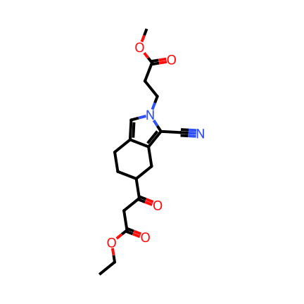 CCOC(=O)CC(=O)C1CCc2cn(CCC(=O)OC)c(C#N)c2C1